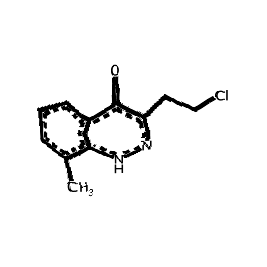 Cc1cccc2c(=O)c(CCCl)n[nH]c12